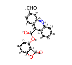 O=Cc1ccc2c(C(=O)Oc3cccc4c3C(=O)O4)c3ccccc3nc2c1